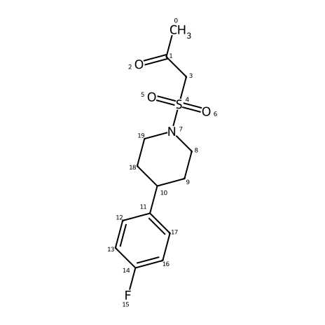 CC(=O)CS(=O)(=O)N1CCC(c2ccc(F)cc2)CC1